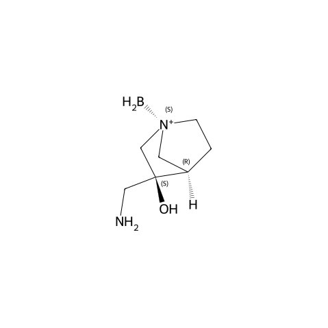 B[N@+]12CC[C@H](C1)[C@](O)(CN)C2